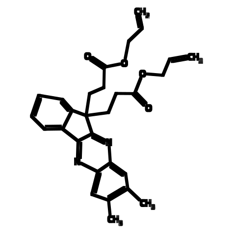 C=CCOC(=O)CCC1(CCC(=O)OCC=C)c2ccccc2-c2nc3cc(C)c(C)cc3nc21